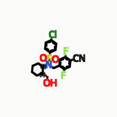 N#Cc1cc(F)c(CN([C@@H]2CCCC[C@H]2CO)S(=O)(=O)c2ccc(Cl)cc2)cc1F